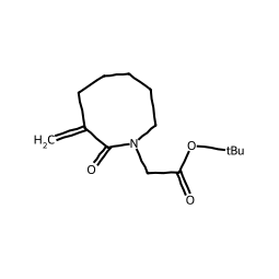 C=C1CCCCCN(CC(=O)OC(C)(C)C)C1=O